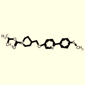 CSc1ccc(-c2ccc(OCC3CCN(C(=O)OC(C)C)CC3)cn2)cc1